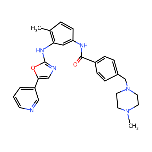 Cc1ccc(NC(=O)c2ccc(CN3CCN(C)CC3)cc2)cc1Nc1ncc(-c2cccnc2)o1